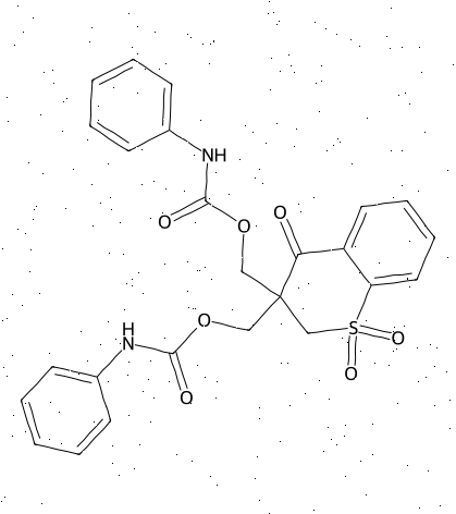 O=C(Nc1ccccc1)OCC1(COC(=O)Nc2ccccc2)CS(=O)(=O)c2ccccc2C1=O